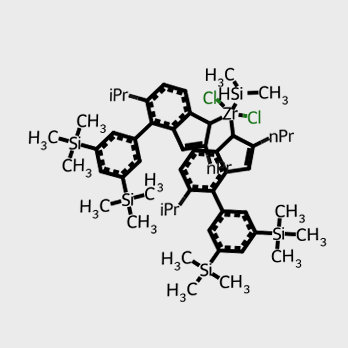 CCCC1=Cc2c(ccc(C(C)C)c2-c2cc([Si](C)(C)C)cc([Si](C)(C)C)c2)[CH]1[Zr]([Cl])([Cl])([CH]1C(CCC)=Cc2c1ccc(C(C)C)c2-c1cc([Si](C)(C)C)cc([Si](C)(C)C)c1)[SiH](C)C